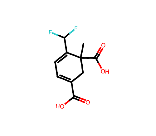 CC1(C(=O)O)CC(C(=O)O)=CC=C1C(F)F